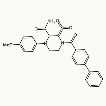 COc1ccc(N2CCN(C(=O)c3ccc(-c4ccccc4)cc3)C(=S(=O)=O)C2C(N)=O)cc1